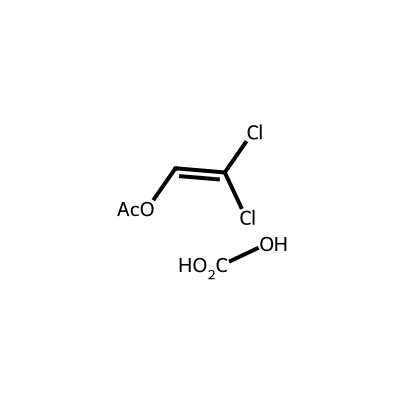 CC(=O)OC=C(Cl)Cl.O=C(O)O